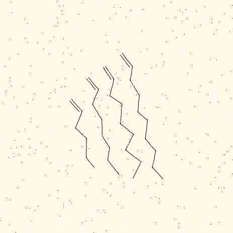 C=CCCCC.C=CCCCCCC.C=CCCCCCCC.C=CCCCCCCCC